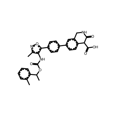 Cc1ccccc1C(C)OC(=O)Nc1c(C)noc1-c1ccc(-c2ccc3c(c2)CNC(=O)C3C(=O)O)cc1